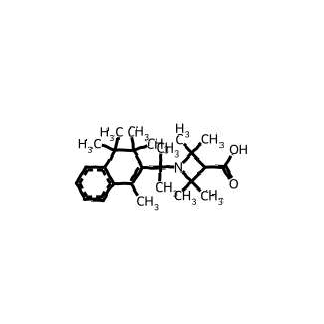 CC1=C(C(C)(C)N2C(C)(C)C(C(=O)O)C2(C)C)C(C)(C)C(C)(C)c2ccccc21